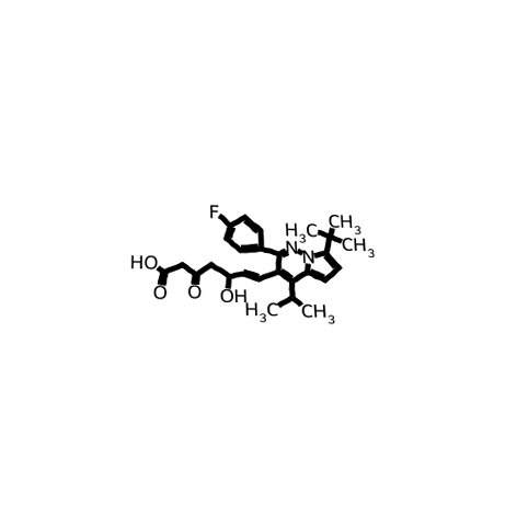 CC(C)c1c(/C=C/C(O)CC(=O)CC(=O)O)c(-c2ccc(F)cc2)nn2c(C(C)(C)C)ccc12